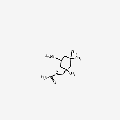 BC(=O)NCC1(C)CC(NC(C)=O)CC(C)(C)C1